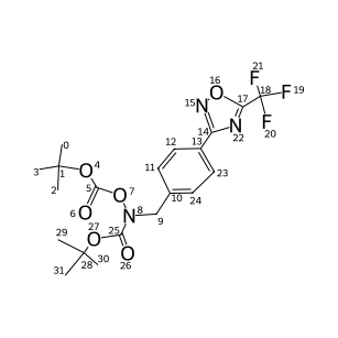 CC(C)(C)OC(=O)ON(Cc1ccc(-c2noc(C(F)(F)F)n2)cc1)C(=O)OC(C)(C)C